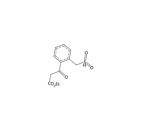 CCOC(=O)CC(=O)c1ccccc1C[SH](=O)=O